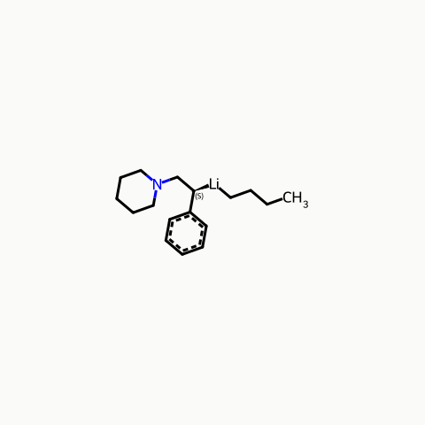 CCC[CH2][Li][C@H](CN1CCCCC1)c1ccccc1